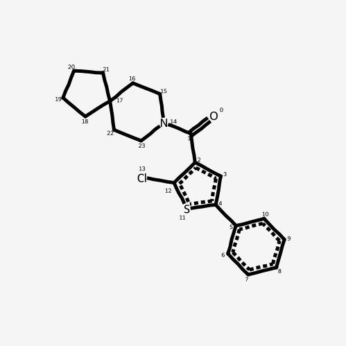 O=C(c1cc(-c2ccccc2)sc1Cl)N1CCC2(CCCC2)CC1